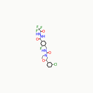 O=C(NNC(=O)C(F)(F)F)c1ccc(CNC(=O)N2CCOC(c3cccc(Cl)c3)C2)c(F)c1